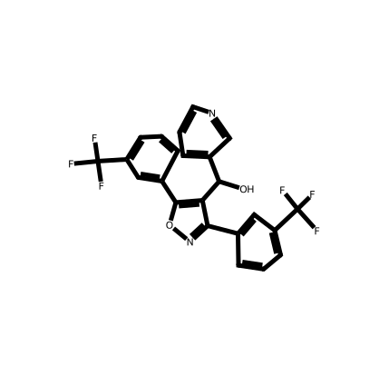 OC(c1cccnc1)c1c(-c2cccc(C(F)(F)F)c2)noc1-c1cccc(C(F)(F)F)c1